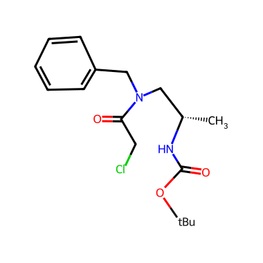 C[C@@H](CN(Cc1ccccc1)C(=O)CCl)NC(=O)OC(C)(C)C